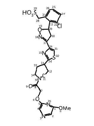 COc1cncc(OCC(=O)N2CCC(c3nc(C4=NOC(c5c(Cl)cccc5CS(=O)(=O)O)C4)cs3)CC2)n1